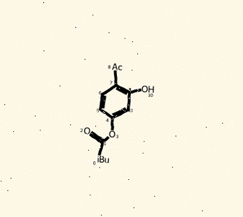 CCC(C)C(=O)Oc1ccc(C(C)=O)c(O)c1